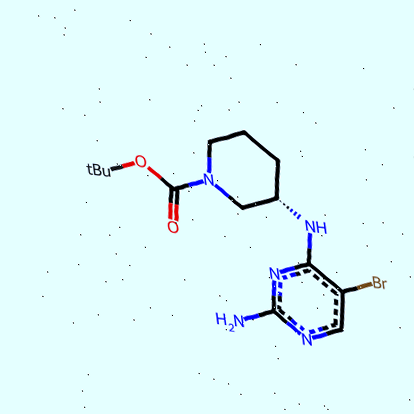 CC(C)(C)OC(=O)N1CCC[C@H](Nc2nc(N)ncc2Br)C1